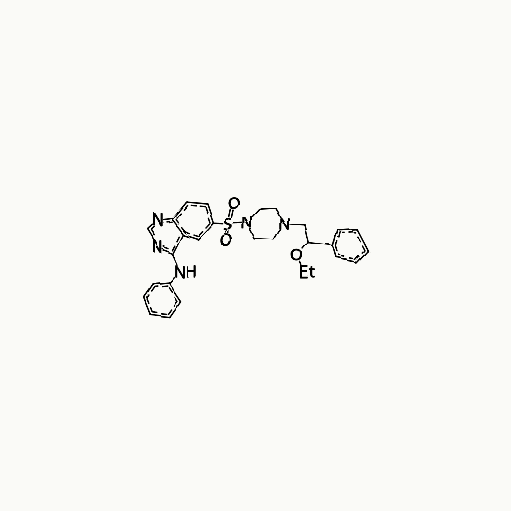 CCOC(CN1CCN(S(=O)(=O)c2ccc3ncnc(Nc4ccccc4)c3c2)CC1)c1ccccc1